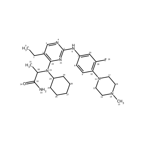 CCc1cnc(Nc2ccc(N3CCN(C)CC3)c(F)c2)nc1N(C1CCCCC1)C(C)C(N)=O